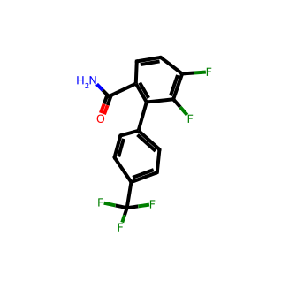 NC(=O)c1ccc(F)c(F)c1-c1ccc(C(F)(F)F)cc1